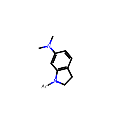 CC(=O)N1CCc2ccc(N(C)C)cc21